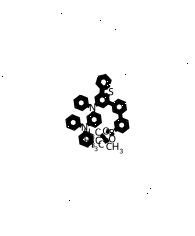 CC1(C)OB(c2cccc(-c3cccc(-c4cc(N(c5ccccc5)c5cccc(N(c6ccccc6)c6ccccc6)c5)cc5c4sc4ccccc45)c3)c2)OC1(C)C